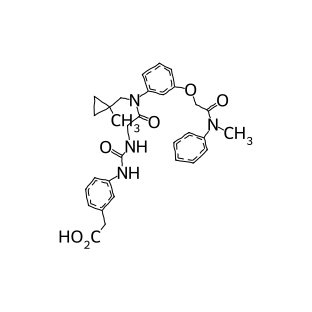 CN(C(=O)COc1cccc(N(CC2(C)CC2)C(=O)CNC(=O)Nc2cccc(CC(=O)O)c2)c1)c1ccccc1